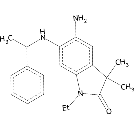 CCN1C(=O)C(C)(C)c2cc(N)c(NC(C)c3ccccc3)cc21